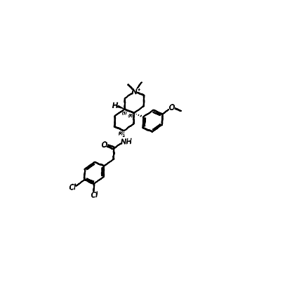 COc1cccc([C@@]23CC[N+](C)(C)C[C@H]2CC[C@@H](NC(=O)Cc2ccc(Cl)c(Cl)c2)C3)c1